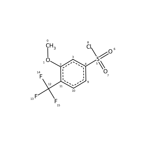 COc1cc(S(=O)(=O)Cl)ccc1C(F)(F)F